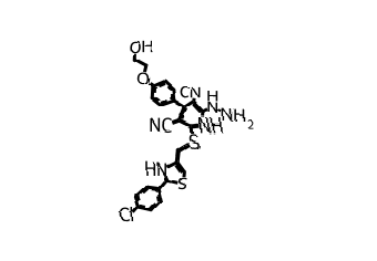 N#CC1=C(NN)NC(SCC2=CSC(c3ccc(Cl)cc3)N2)C(C#N)=C1c1ccc(OCCO)cc1